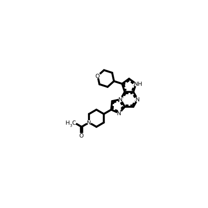 CC(=O)N1CCC(c2cn3c(cnc4[nH]cc(C5CCOCC5)c43)n2)CC1